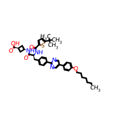 CCCCCCCOc1ccc(-c2cnc(-c3ccc(C[C@H](NC(=O)c4ccc(C(C)(C)C)s4)C(=O)N[C@H]4C[C@H](C(=O)O)C4)cc3)nc2)cc1